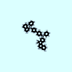 CC1(C)c2cc(N(c3ccccc3)c3ccc(-c4ccc(N(c5ccccc5)c5cccc6ccccc56)cc4)cc3)ccc2-c2c1ccc1ccccc21